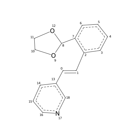 C(=Cc1ccccc1C1OCCO1)c1cccnc1